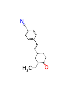 C=CC1CC(C=Cc2ccc(C#N)cc2)CCC1=O